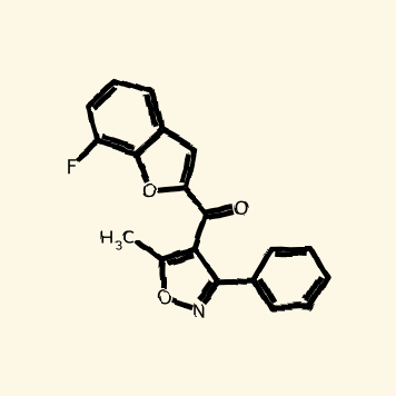 Cc1onc(-c2ccccc2)c1C(=O)c1cc2cccc(F)c2o1